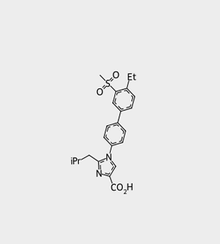 CCc1ccc(-c2ccc(-n3cc(C(=O)O)nc3CC(C)C)cc2)cc1S(C)(=O)=O